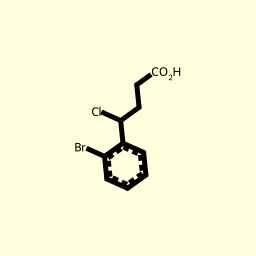 O=C(O)CCC(Cl)c1ccccc1Br